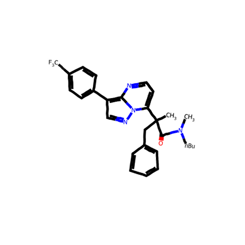 CCCCN(C)C(=O)C(C)(Cc1ccccc1)c1ccnc2c(-c3ccc(C(F)(F)F)cc3)cnn12